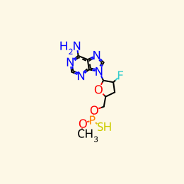 COP(S)OCC1CC(F)C(n2cnc3c(N)ncnc32)O1